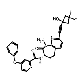 CN1C(=O)[C@@H](NC(=O)c2cc(Oc3ccccc3)ccn2)CCc2ccc(C#CC3(O)CC(F)(F)C3)nc21